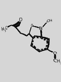 COc1ccc2c(c1)B(O)OC2CC(C)=O